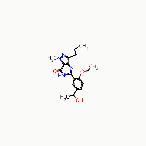 CCCc1nn(C)c2c(=O)[nH]c(-c3cc(C(C)O)ccc3OCC)nc12